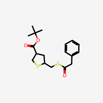 CC(C)(C)OC(=O)C1CSC(CSC(=O)Cc2ccccc2)C1